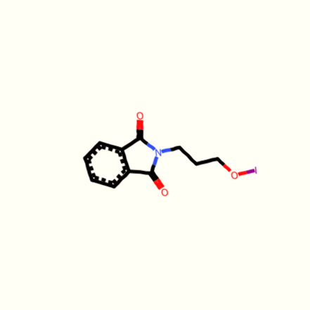 O=C1c2ccccc2C(=O)N1CCCOI